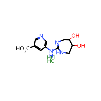 Cl.Cl.O=C(O)c1cncc(NC2=NC[C@H](O)[C@@H](O)CN2)c1